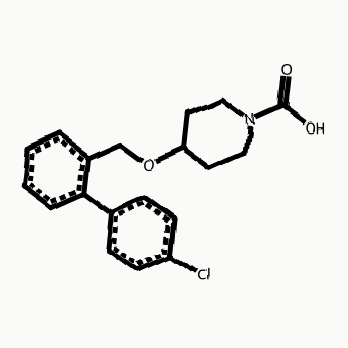 O=C(O)N1CCC(OCc2ccccc2-c2ccc(Cl)cc2)CC1